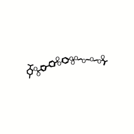 C=C(C)C(=O)OCCOCCOCCOC(=O)Oc1ccc(OC(=O)c2ccc(-c3ccc(C(=O)OC4CC(C)CCC4C(C)C)cc3)cc2)cc1